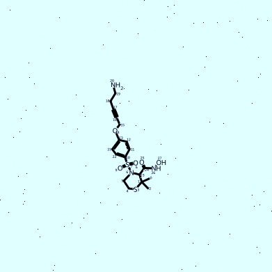 CC1(C)SCCN(S(=O)(=O)c2ccc(OCC#CCCN)cc2)C1C(=O)NO